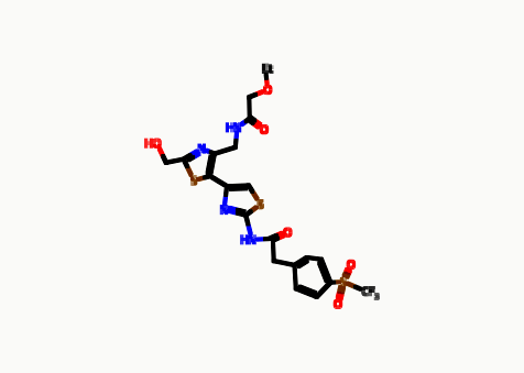 CCOCC(=O)NCc1nc(CO)sc1-c1csc(NC(=O)Cc2ccc(S(=O)(=O)C(F)(F)F)cc2)n1